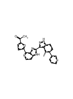 CC(=O)c1ccc(-c2nccc3[nH]c(-c4n[nH]c5ccc(-c6cccnc6)c(F)c45)nc23)s1